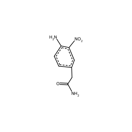 NC(=O)Cc1ccc(N)c([N+](=O)[O-])c1